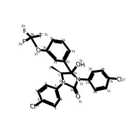 C[C@@H]1N(c2ccc(Cl)cc2)C(=O)N(c2ccc(Cl)cc2)C1(O)c1cccc(OC(F)(F)F)c1